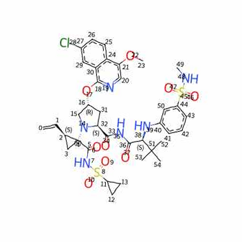 C=C[C@@H]1C[C@@]1(C(=O)NS(=O)(=O)C1CC1)N1C[C@H](Oc2ncc(OC)c3ccc(Cl)cc23)C[C@H]1C(=O)NC(=O)[C@@H](Nc1cccc(S(=O)(=O)NC)c1)C(C)(C)C